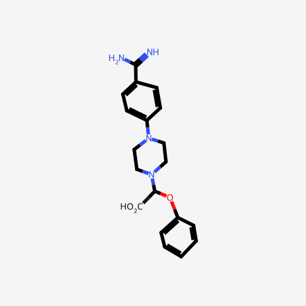 N=C(N)c1ccc(N2CCN(C(Oc3ccccc3)C(=O)O)CC2)cc1